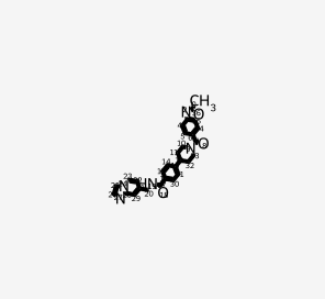 Cc1nc2ccc(C(=O)N3CCC(c4ccc(C(=O)NCc5ccn6ccnc6c5)cc4)CC3)cc2o1